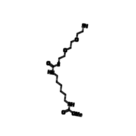 COC(=O)NCCCCCCNC(=O)SCCOCCOCCS